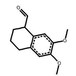 COc1cc2c(cc1OC)C(C=O)CCC2